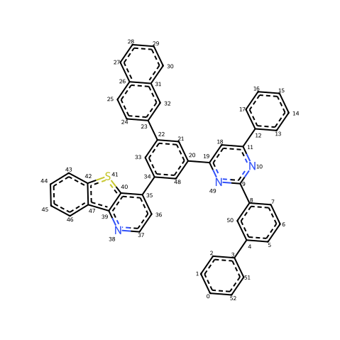 c1ccc(-c2cccc(-c3nc(-c4ccccc4)cc(-c4cc(-c5ccc6ccccc6c5)cc(-c5ccnc6c5sc5ccccc56)c4)n3)c2)cc1